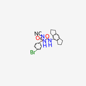 N#CN=S(=O)(NC(=O)Nc1c2c(cc3c1CCC3)CCC2)c1ccc(Br)cc1